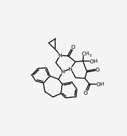 CC1(O)C(=O)C(C(=O)O)CN2C1C(=O)N(C1CC1)CN2C1c2ccccc2CCc2ccccc21